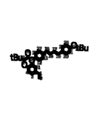 C=Cc1ccc(OC(C(=O)Oc2ccc(C=CC=Cc3ccc(OC(C)(C)C)cc3)cc2)C(C)(C)C)cc1